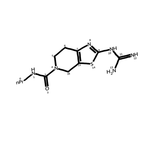 CCCNC(=O)N1CCc2nc(NC(=N)N)sc2C1